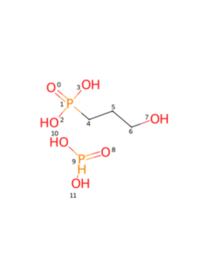 O=P(O)(O)CCCO.O=[PH](O)O